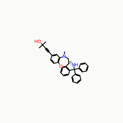 CN1C[C@H](NC(c2ccccc2)(c2ccccc2)c2ccccc2)COc2ccc(C#CC(C)(C)O)cc21